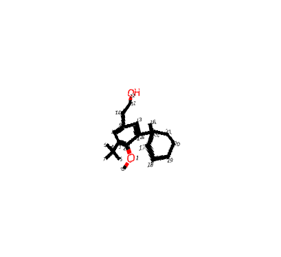 COc1c(C(C)(C)C)cc(CCO)cc1C1(C)CCCCC1